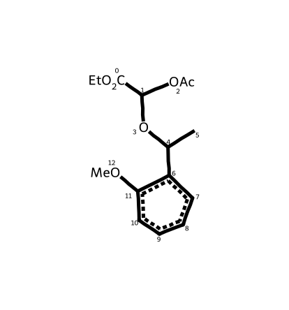 CCOC(=O)C(OC(C)=O)OC(C)c1ccccc1OC